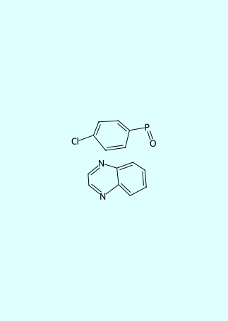 O=Pc1ccc(Cl)cc1.c1ccc2nccnc2c1